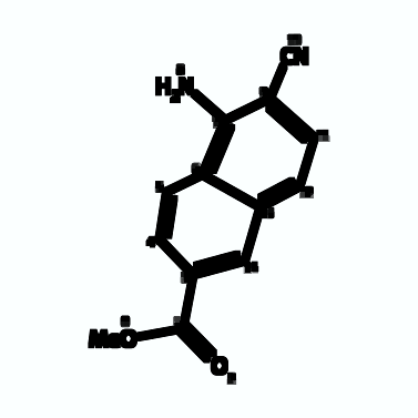 COC(=O)c1ccc2c(N)c(C#N)ccc2c1